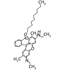 CCCCCCCCCCOC(=O)c1ccccc1-c1c2cc(C)/c(=N/CC)cc-2oc2cc(NCC)c(C)cc12